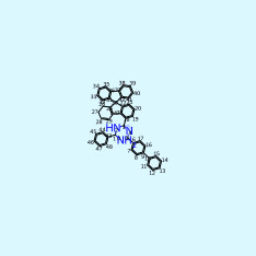 NC(N/C(=N\Cc1ccc(-c2ccccc2)cc1)c1cccc2c1C1=C(CCC=C1)C21c2ccccc2-c2ccccc21)c1ccccc1